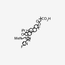 CNCCn1c(-c2ccc(F)cn2)nnc1[C@@]12CC[C@]3(C)[C@H](CCC4[C@@]5(C)CC[C@H](OC(=O)CC(C)(C)C(=O)O)C(C)(C)C5CC[C@]43C)C1=C(C(C)C)C(=O)C2